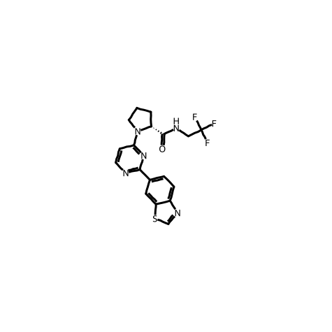 O=C(NCC(F)(F)F)[C@H]1CCCN1c1ccnc(-c2ccc3ncsc3c2)n1